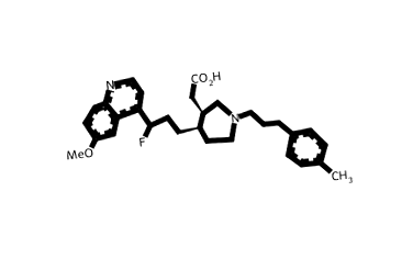 COc1ccc2nccc(C(F)CC[C@@H]3CCN(CCCc4ccc(C)cc4)C[C@@H]3CC(=O)O)c2c1